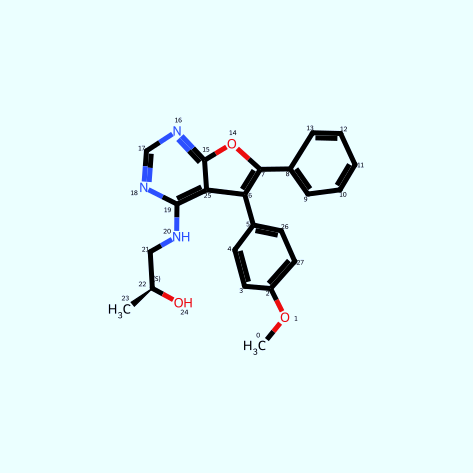 COc1ccc(-c2c(-c3ccccc3)oc3ncnc(NC[C@H](C)O)c23)cc1